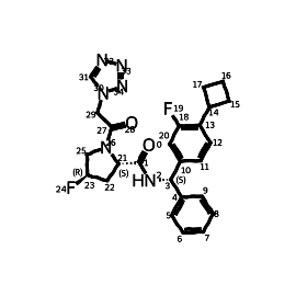 O=C(N[C@@H](c1ccccc1)c1ccc(C2CCC2)c(F)c1)[C@@H]1C[C@@H](F)CN1C(=O)Cn1cnnn1